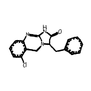 O=C1NC2=Nc3cccc(Cl)c3CN2C1Cc1ccccc1